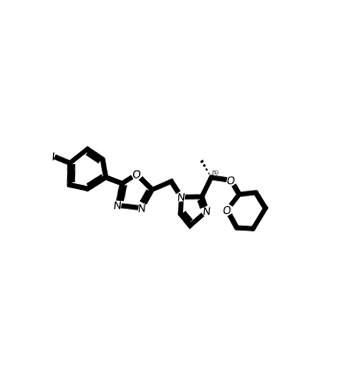 C[C@H](OC1CCCCO1)c1nccn1Cc1nnc(-c2ccc(I)cc2)o1